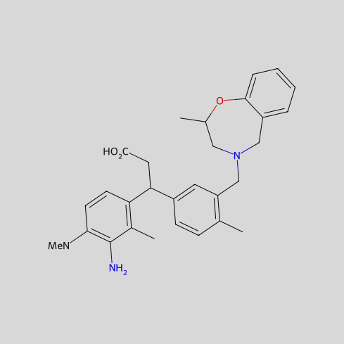 CNc1ccc(C(CC(=O)O)c2ccc(C)c(CN3Cc4ccccc4OC(C)C3)c2)c(C)c1N